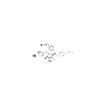 CCc1cc(C#N)ncc1N(C)c1cc(N(Cc2ccc(OC)cc2)Cc2ccc(OC)cc2)c2ncn(C)c2c1